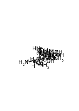 NCCCNC[C@@H]1C=C[C@@H](N)[C@@H](O[C@H]2[C@H](O[C@@H]3O[C@H](CO)[C@@H](O[C@H]4O[C@@H](CN)[C@@H](O)[C@H](O)[C@H]4N)[C@H]3O)[C@@H](O)[C@H](NC(=O)C3(O)CNC3)C[C@@H]2N)O1